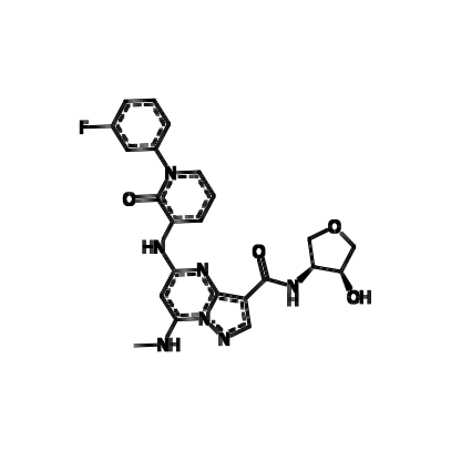 CNc1cc(Nc2cccn(-c3cccc(F)c3)c2=O)nc2c(C(=O)N[C@H]3COC[C@H]3O)cnn12